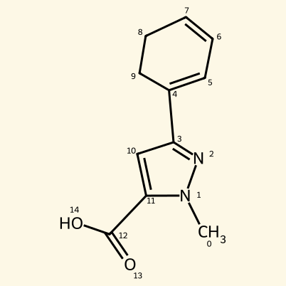 Cn1nc(C2=CC=CCC2)cc1C(=O)O